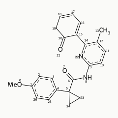 COc1ccc(C2(C(=O)Nc3ccc(C)c(C4=CC=CCC4=O)n3)CC2)cc1